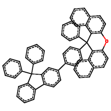 c1ccc(C2(c3ccccc3)c3ccccc3-c3ccc(-c4ccc(C5(c6ccccc6)c6c(ccc7ccccc67)Oc6ccc7ccccc7c65)cc4)cc32)cc1